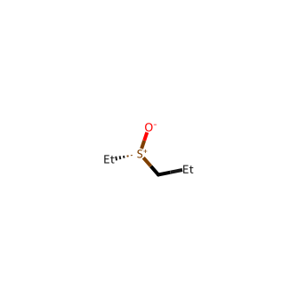 CCC[S@@+]([O-])CC